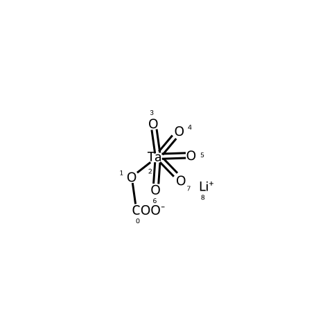 O=C([O-])[O][Ta](=[O])(=[O])(=[O])(=[O])=[O].[Li+]